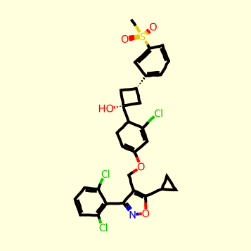 CS(=O)(=O)c1cccc([C@H]2C[C@](O)(C3CC=C(OCc4c(-c5c(Cl)cccc5Cl)noc4C4CC4)C=C3Cl)C2)c1